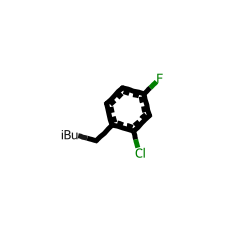 CCC(C)Cc1ccc(F)cc1Cl